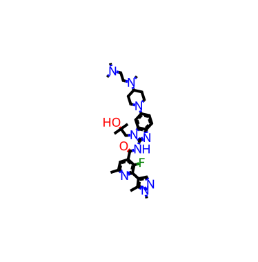 Cc1cc(C(=O)Nc2nc3ccc(N4CCC(N(C)CCN(C)C)CC4)cc3n2CC(C)(C)O)c(F)c(-c2cnn(C)c2C)n1